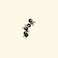 O=C(c1cc(N2CCC(n3c(=O)[nH]c4ncccc43)CC2)[nH]c(=O)c1)N1CCc2c1ccc(F)c2F